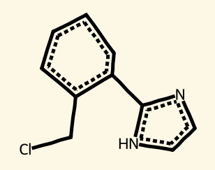 ClCc1ccccc1-c1ncc[nH]1